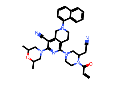 C=CC(=O)N1CCN(c2nc(N3CC(C)OC(C)C3)c(C#N)c3c2CCN(c2cccc4ccccc24)C3)CC1CC#N